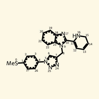 CSc1ccc(-n2cc(Cn3c(C4=CC=CCN4)nc4ccccc43)nn2)cc1